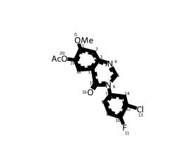 COc1cc2ncn(-c3ccc(F)c(Cl)c3)c(=O)c2cc1OC(C)=O